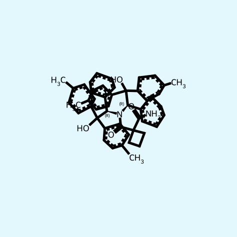 Cc1ccc(C(O)(c2ccc(C)cc2)[C@@H](c2ccccc2)N(C(=O)C2(C(N)=O)CCC2)[C@H](c2ccccc2)C(O)(c2ccc(C)cc2)c2ccc(C)cc2)cc1